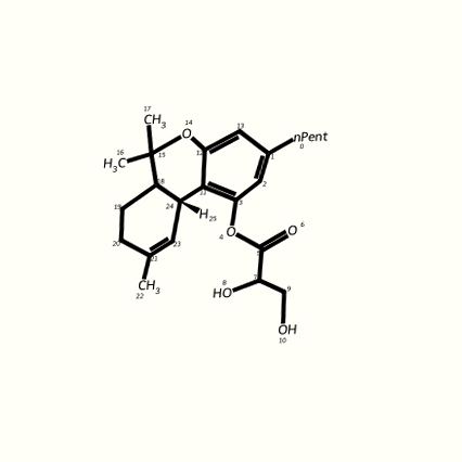 CCCCCc1cc(OC(=O)C(O)CO)c2c(c1)OC(C)(C)C1CCC(C)=C[C@@H]21